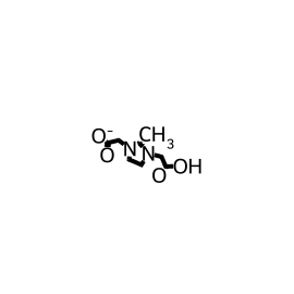 CC1=[N+](CC(=O)[O-])CCN1CC(=O)O